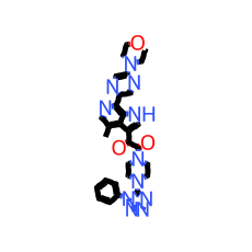 Cc1cnc(-c2cnc(N3CCOCC3)cn2)c2[nH]cc(C(=O)C(=O)N3CCN(c4nnnn4-c4ccccc4)CC3)c12